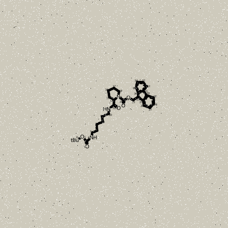 CC(C)(C)OC(=O)NCCCCCCNC(=O)C1CCCCN1C(=O)OCC1c2ccccc2-c2ccccc21